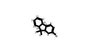 CC1(C)C2CC(I)=CC=C2C2C=CC=CC21